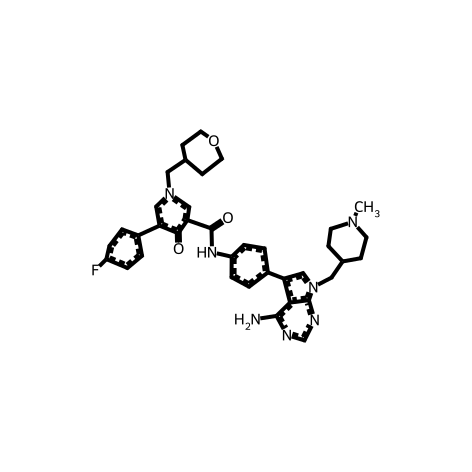 CN1CCC(Cn2cc(-c3ccc(NC(=O)c4cn(CC5CCOCC5)cc(-c5ccc(F)cc5)c4=O)cc3)c3c(N)ncnc32)CC1